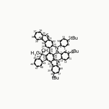 CC(C)(C)c1ccc(N2B3c4cc(C(C)(C)C)ccc4-n4c5ccc(C(C)(C)C)cc5c5c6c(c(c3c54)-c3cc4c(cc32)sc2ccccc24)C(C)(C)c2ccccc2-6)cc1